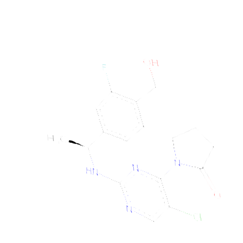 C[C@H](Nc1ncc(Cl)c(N2CCCC2=O)n1)c1ccc(CO)c(F)c1